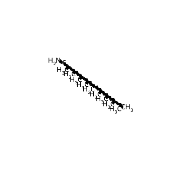 CC(C)=CCC/C(C)=C/CC/C(C)=C/CC/C(C)=C/CC/C(C)=C/CC/C(C)=C/CC/C(C)=C/CC/C(C)=C/CC/C(C)=C/CSCCN